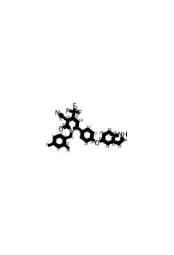 Cc1ccc(Cn2c(-c3ccc(Oc4ccc5[nH]ccc5c4)cc3)cc(C(F)(F)F)c(C#N)c2=O)c(C)c1